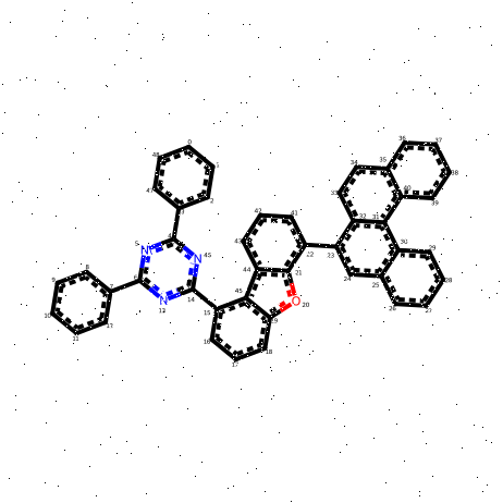 c1ccc(-c2nc(-c3ccccc3)nc(-c3cccc4oc5c(-c6cc7ccccc7c7c6ccc6ccccc67)cccc5c34)n2)cc1